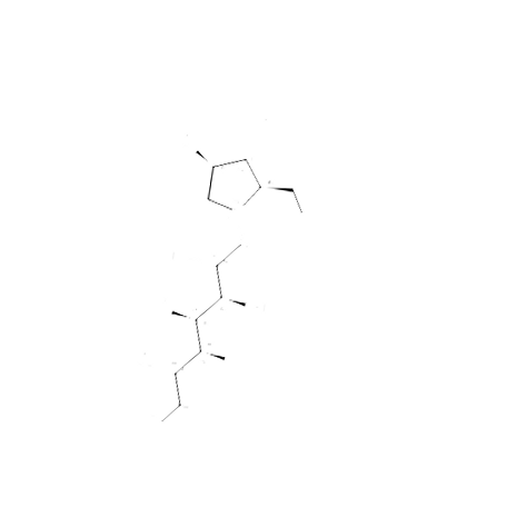 OC[C@@H]1[C@@H](O)[C@H](O)C[S@@+]1C[C@@H](O)[C@@H](O)[C@H](O)[C@@H](O)[C@@H](O)CO